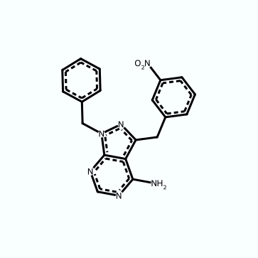 Nc1ncnc2c1c(Cc1cccc([N+](=O)[O-])c1)nn2Cc1ccccc1